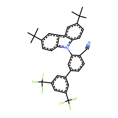 CC(C)(C)c1ccc2c(c1)c1cc(C(C)(C)C)ccc1n2-c1cc(-c2cc(C(F)(F)F)cc(C(F)(F)F)c2)ccc1C#N